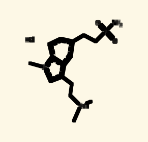 Cl.Cn1cc(C[CH2][SnH]([CH3])[CH3])c2cc(CCS(N)(=O)=O)ccc21